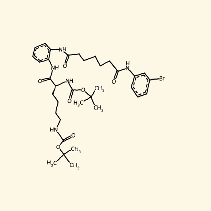 CC(C)(C)OC(=O)NCCCC[C@H](NC(=O)OC(C)(C)C)C(=O)Nc1ccccc1NC(=O)CCCCCC(=O)Nc1cccc(Br)c1